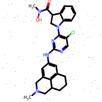 CN1Cc2cc(Nc3ncc(Cl)c(N4CC(C(=O)N(C)O)c5ccccc54)n3)cc3c2C(CCC3)C1